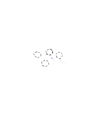 CC(C)c1cccc(C(C)C)c1/N=C\c1ccccc1P(c1ccccc1)c1ccccc1